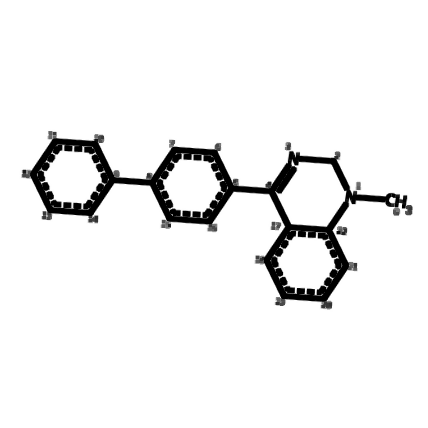 CN1CN=C(c2ccc(-c3ccccc3)cc2)c2ccccc21